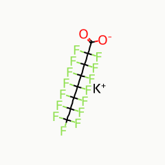 O=C([O-])C(F)(F)C(F)(F)C(F)(F)C(F)(F)C(F)(F)C(F)(F)C(F)(F)F.[K+]